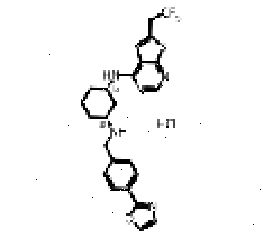 Cl.FC(F)(F)Cc1cc2c(N[C@@H]3CCC[C@H](NCc4ccc(-c5ncco5)cc4)C3)ncnc2s1